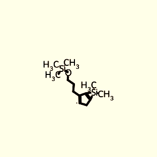 C[Si](C)(C)OCCCC1=[C]CC2=C1[Si]2(C)C